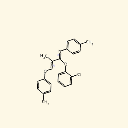 CC(=C\Oc1ccc(C)cc1)/C(=N/c1ccc(C)cc1)Oc1ccccc1Cl